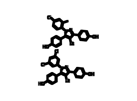 CCc1c(-c2ccc(O)cc2)nn(-c2cc(Cl)cc(Cl)c2)c1-c1ccc(O)cc1.CCc1c(-c2ccc(O)cc2)nn(-c2ccc(Cl)cc2C)c1-c1ccc(O)cc1